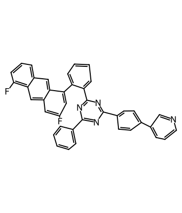 Fc1cc(-c2ccccc2-c2nc(-c3ccccc3)nc(-c3ccc(-c4cccnc4)cc3)n2)c2cc3cccc(F)c3cc2c1